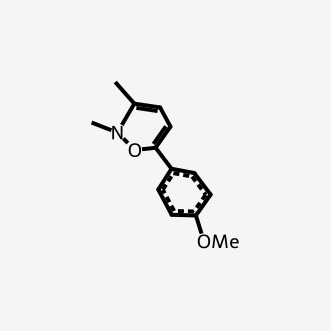 COc1ccc(C2=CC=C(C)N(C)O2)cc1